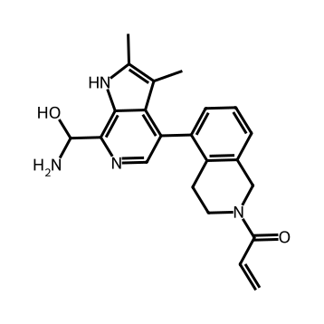 C=CC(=O)N1CCc2c(cccc2-c2cnc(C(N)O)c3[nH]c(C)c(C)c23)C1